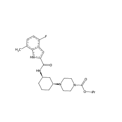 Cc1ccc(F)c2cc(C(=O)N[C@@H]3CCC[C@H](N4CCN(C(=O)OC(C)C)CC4)C3)[nH]c12